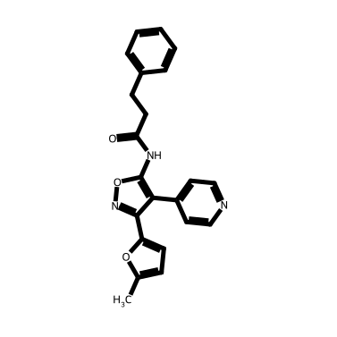 Cc1ccc(-c2noc(NC(=O)CCc3ccccc3)c2-c2ccncc2)o1